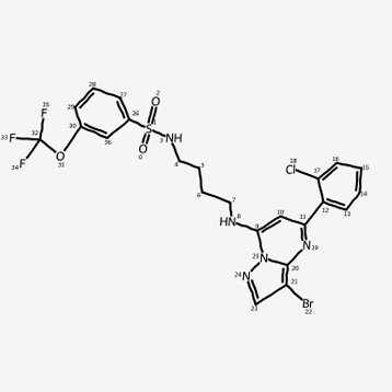 O=S(=O)(NCCCCNc1cc(-c2ccccc2Cl)nc2c(Br)cnn12)c1cccc(OC(F)(F)F)c1